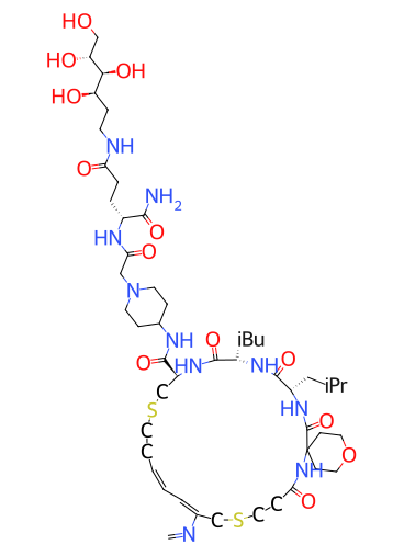 C=N/C1=C\C=C/CCSC[C@@H](C(=O)NC2CCN(CC(=O)N[C@H](CCC(=O)NCC[C@@H](O)[C@H](O)[C@H](O)CO)C(N)=O)CC2)NC(=O)[C@H]([C@@H](C)CC)NC(=O)[C@H](CC(C)C)NC(=O)C2(CCOCC2)NC(=O)CCSC1